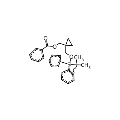 CC(C)(C)[Si](OCC1(COC(=O)c2ccccc2)CC1)(c1ccccc1)c1ccccc1